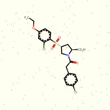 O=C(O)[C@@H]1C[C@@H](S(=O)(=O)c2ccc(OCC(F)(F)F)cc2Cl)CN1C(=O)Cc1ccc(Cl)cc1